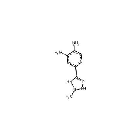 CN1NN=C(c2ccc(N)c(N)c2)N1